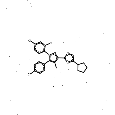 Cc1c(-c2nnc(C3CCCC3)o2)nn(-c2ccc(Cl)cc2Cl)c1-c1ccc(Cl)cc1